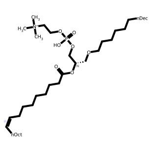 CCCCCCCC/C=C\CCCCCCCC(=O)O[C@@H](COCCCCCCCCCCCCCCCC)COP(=O)(O)OCC[N+](C)(C)C